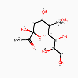 COC(=O)[C@]1(O)C[C@H](O)[C@@H](NC(C)=O)[C@H]([C@H](O)[C@H](O)CO)O1.O